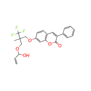 C=CC(O)OCC(C)(COc1ccc2cc(-c3ccccc3)c(=O)oc2c1)C(F)(F)F